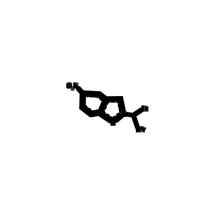 CCCC(CC)n1cc2cc([N+](=O)[O-])ccc2n1